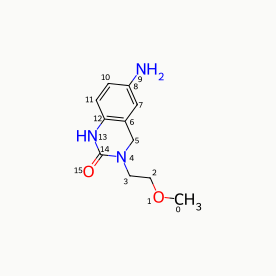 COCCN1Cc2cc(N)ccc2NC1=O